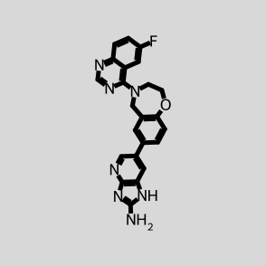 Nc1nc2ncc(-c3ccc4c(c3)CN(c3ncnc5ccc(F)cc35)CCO4)cc2[nH]1